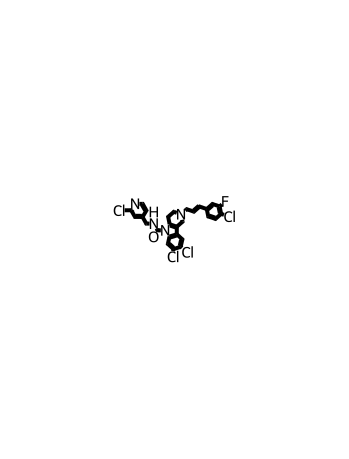 O=C(NCc1ccnc(Cl)c1)n1c2c(c3cc(Cl)c(Cl)cc31)CN(CC=Cc1ccc(Cl)c(F)c1)CC2